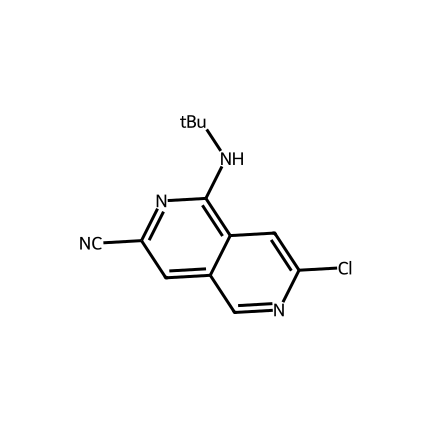 CC(C)(C)Nc1nc(C#N)cc2cnc(Cl)cc12